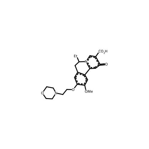 CCC1Cc2cc(OCCN3CCOCC3)c(OC)cc2-c2cc(=O)c(C(=O)O)cn21